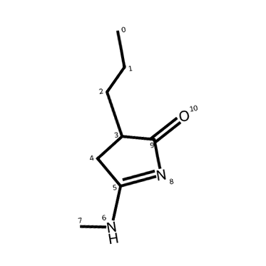 CCCC1CC(NC)=NC1=O